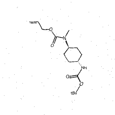 C=CCOC(=O)N(C)[C@H]1CC[C@H](NC(=O)OC(C)(C)C)CC1